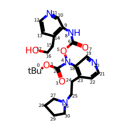 CC(C)(C)OC(=O)N(OC(=O)Nc1cnccc1CCO)c1cnccc1CCN1CCCC1